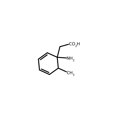 CC1C=CC=CC1(N)CC(=O)O